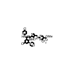 COC(=O)c1cnc(N(C)Cc2csc(C(=O)Nc3c(C(=O)Nc4ccc(Cl)cn4)cc(Cl)cc3N3CCOCC3)c2Cl)nc1C(F)(F)F